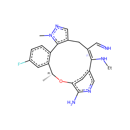 CCN/C1=C(\C=N)Cc2cnn(C)c2-c2ccc(F)cc2[C@@H](C)Oc2cc1cnc2N